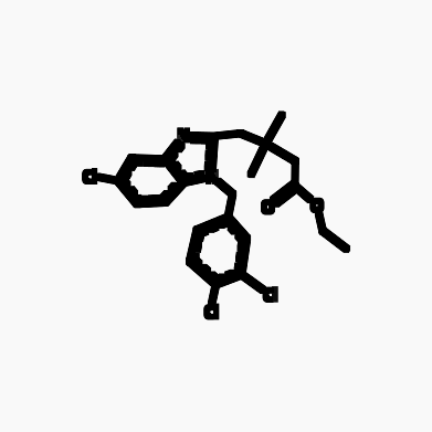 CCOC(=O)CC(C)(C)Cc1nc2cc(Cl)ccc2n1Cc1ccc(Cl)c(Cl)c1